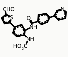 O=Cc1ccc(-c2ccc(NC(=O)O)c(NC(=O)c3ccc(-c4cccnc4)cc3)c2)s1